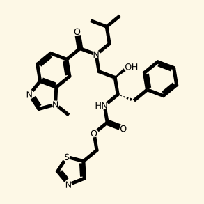 CC(C)CN(C[C@@H](O)[C@H](Cc1ccccc1)NC(=O)OCc1cncs1)C(=O)c1ccc2ncn(C)c2c1